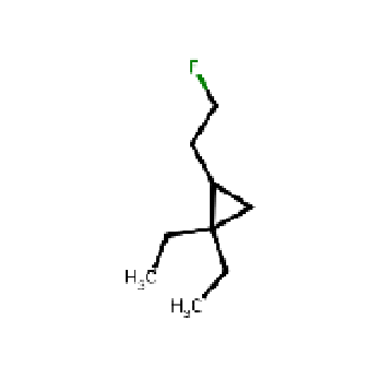 CCC1(CC)CC1CCF